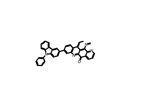 C=NC1=c2c(nc3cc(-c4ccc5c(c4)c4ccccc4n5-c4ccccc4)ccc3/c2=C/C)C(=O)c2cccnc21